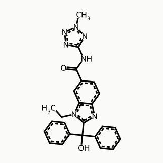 CCn1c(C(O)(c2ccccc2)c2ccccc2)nc2ccc(C(=O)Nc3nnn(C)n3)cc21